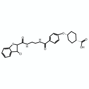 O=C(NCCNC(=O)C1Sc2ccccc2C1Cl)c1ccc(O[C@H]2CC[C@@H](C(=O)O)CC2)cc1